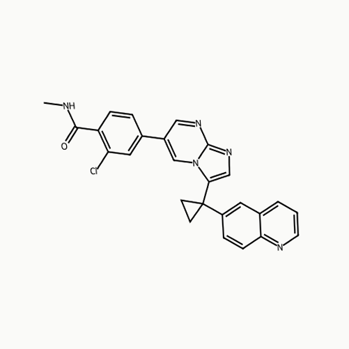 CNC(=O)c1ccc(-c2cnc3ncc(C4(c5ccc6ncccc6c5)CC4)n3c2)cc1Cl